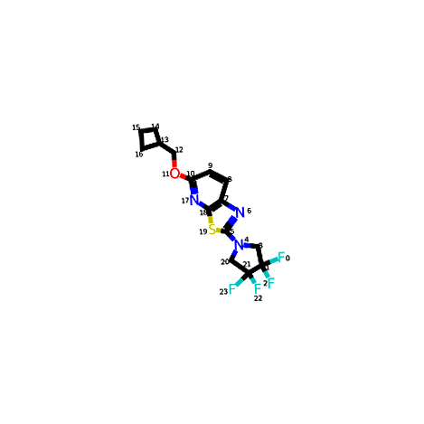 FC1(F)CN(c2nc3ccc(OCC4CCC4)nc3s2)CC1(F)F